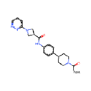 CCCC(C)C(=O)N1CCC(c2ccc(NC(=O)C3CN(c4cccnn4)C3)cc2)CC1